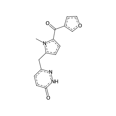 Cn1c(Cc2ccc(=O)[nH]n2)ccc1C(=O)c1ccoc1